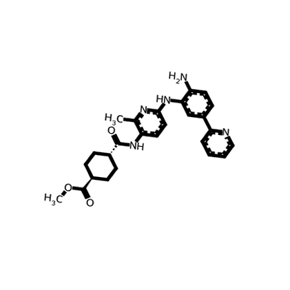 COC(=O)[C@H]1CC[C@H](C(=O)Nc2ccc(Nc3cc(-c4ccccn4)ccc3N)nc2C)CC1